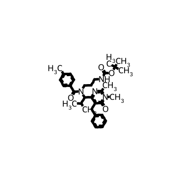 Cc1ccc(C(=O)N(CCCNC(=O)OC(C)(C)C)C(c2nc(C)n(C)c(=O)c2Cc2ccccc2)C(C)C)cc1